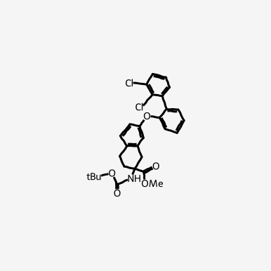 COC(=O)C1(NC(=O)OC(C)(C)C)CCc2ccc(Oc3ccccc3-c3cccc(Cl)c3Cl)cc2C1